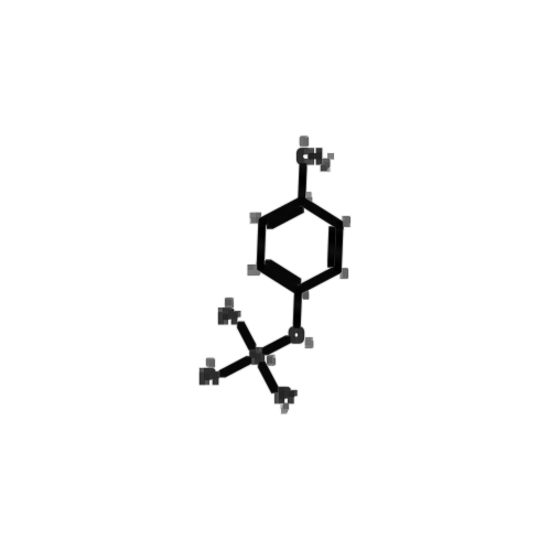 [CH2]c1ccc(O[Si](C(C)C)(C(C)C)C(C)C)cc1